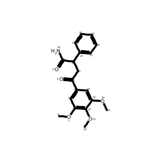 COc1cc(C(=O)CC(C(N)=O)c2ccccc2)cc(OC)c1OC